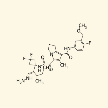 CCC(C)/C(=C\NN)C1(NC(=O)C(=O)c2c(C)c(C(=O)Nc3ccc(F)c(COC)c3)c3n2CCC3)CC(F)(F)C1